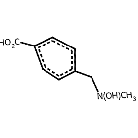 CN(O)Cc1ccc(C(=O)O)cc1